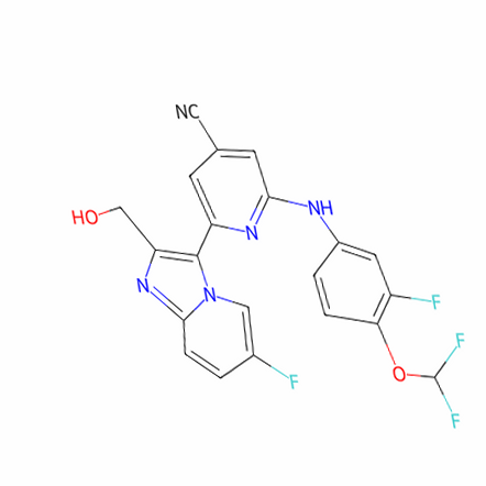 N#Cc1cc(Nc2ccc(OC(F)F)c(F)c2)nc(-c2c(CO)nc3ccc(F)cn23)c1